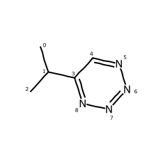 CC(C)c1cnnnn1